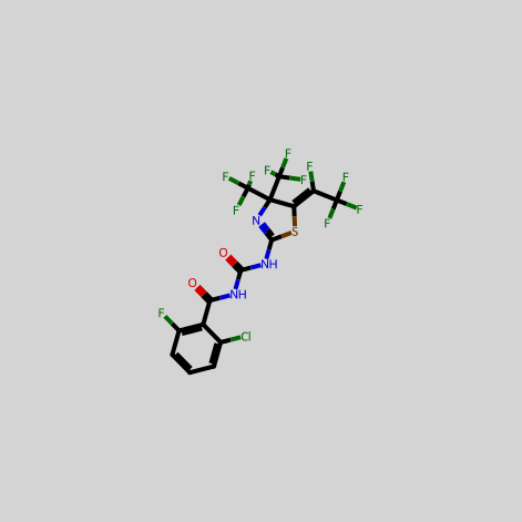 O=C(NC(=O)c1c(F)cccc1Cl)NC1=NC(C(F)(F)F)(C(F)(F)F)C(=C(F)C(F)(F)F)S1